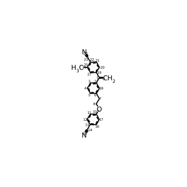 C=C(c1cccc(CCOc2ccc(C#N)cc2)c1)c1ccc(C#N)c(C)c1